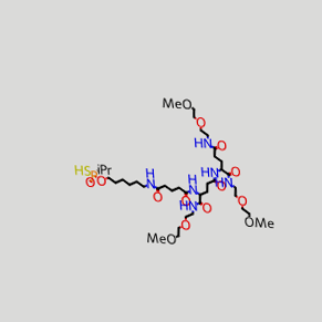 COCCOCCNC(=O)CCC(NC(=O)CCC(NC(=O)CCCC(=O)NCCCCCCOP(=O)(S)C(C)C)C(=O)NCCOCCOC)C(=O)NCCOCCOC